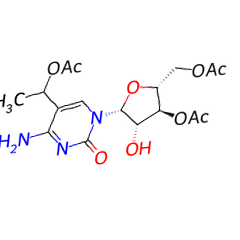 CC(=O)OC[C@H]1O[C@@H](n2cc(C(C)OC(C)=O)c(N)nc2=O)[C@@H](O)[C@@H]1OC(C)=O